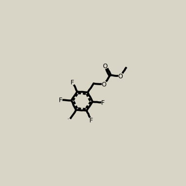 [CH2]c1c(F)c(F)c(COC(=O)OC)c(F)c1F